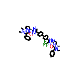 CCN(CC)[C@@H](C(=O)N1CCC[C@H]1c1ncc(-c2ccc(-c3ccc(-c4[nH]c([C@@H]5CCCN5C(=O)[C@@H](c5ccccc5)N(CC)CC)nc4C(F)(F)F)cc3)cc2)[nH]1)c1ccccc1